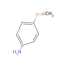 C=Pc1ccc(N)cc1